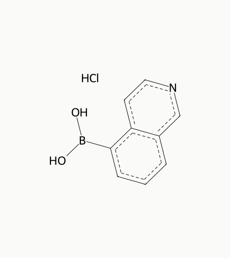 Cl.OB(O)c1cccc2cnccc12